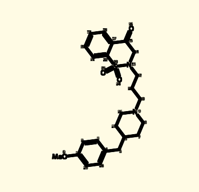 COc1ccc(CC2CCN(CCCN3CC(=O)c4ccccc4S3(=O)=O)CC2)cc1